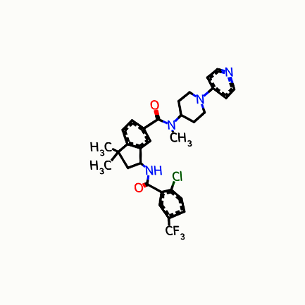 CN(C(=O)c1ccc2c(c1)C(NC(=O)c1cc(C(F)(F)F)ccc1Cl)CC2(C)C)C1CCN(c2ccncc2)CC1